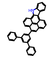 c1ccc(-c2cc(-c3ccccc3)cc(-c3cc4cccc5c6c7ccccc7[nH]c6c6cccc3c6c45)c2)cc1